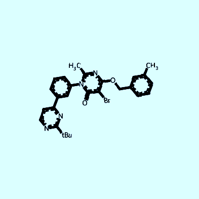 Cc1cccc(COc2nc(C)n(-c3cccc(-c4ccnc(C(C)(C)C)n4)c3)c(=O)c2Br)c1